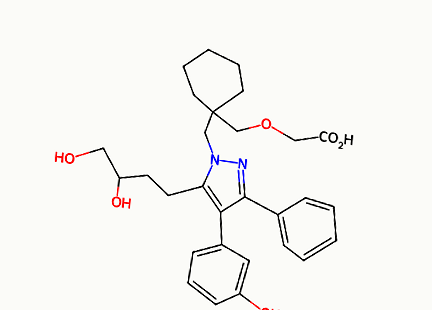 O=C(O)COCC1(Cn2nc(-c3ccccc3)c(-c3cccc(O)c3)c2CCC(O)CO)CCCCC1